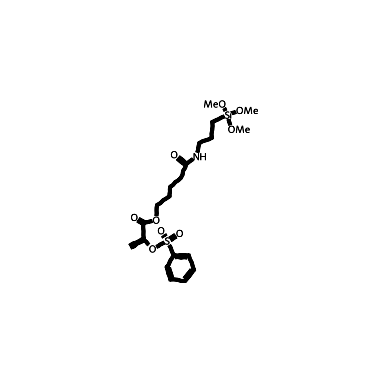 C=C(OS(=O)(=O)c1ccccc1)C(=O)OCCCCC(=O)NCCC[Si](OC)(OC)OC